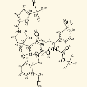 CC(C)(C)OC(=O)NC(Cn1c(=O)c2c(n(Cc3c(F)cccc3CF)c1=O)COC21CCN(Cc2ccc(C(F)(F)F)o2)CC1)c1cccc(N)c1